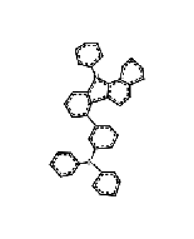 c1ccc(N(c2ccccc2)c2cccc(-c3cccc4c3c3ccc5ccccc5c3n4-c3ccccc3)c2)cc1